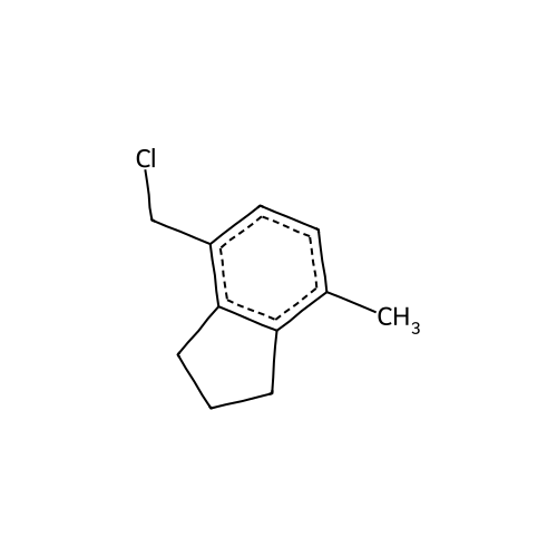 Cc1ccc(CCl)c2c1CCC2